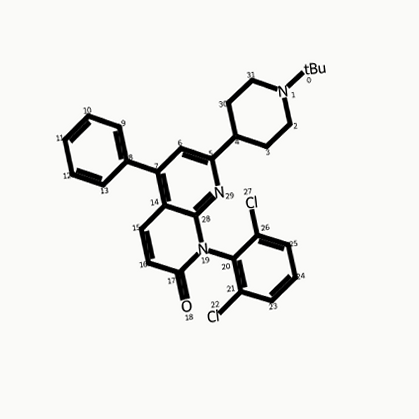 CC(C)(C)N1CCC(c2cc(-c3ccccc3)c3ccc(=O)n(-c4c(Cl)cccc4Cl)c3n2)CC1